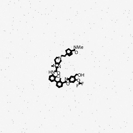 CNC(=O)C12CCC(CCN3CCc4c(nc(C(=O)Nc5cccc(-c6cccc(-c7nc8cc(CO)c(OC(F)F)cc8o7)c6C)c5Cl)n4C)C3)(CC1)C2